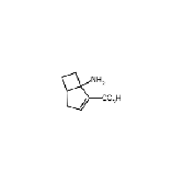 NC12CCC1CC=C2C(=O)O